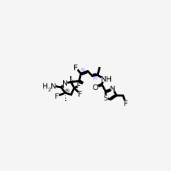 C=C(/C(F)=C\C=C(/C)NC(=O)c1nc(CF)cs1)[C@@]1(C)N=C(N)[C@](C)(F)CC1(F)F